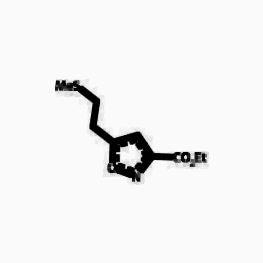 CCOC(=O)c1cc(CCSC)on1